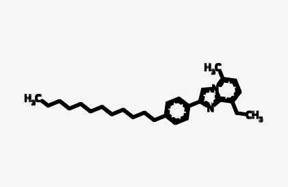 CCCCCCCCCCCCc1ccc(-c2cn3c(C)ccc(CC)c3n2)cc1